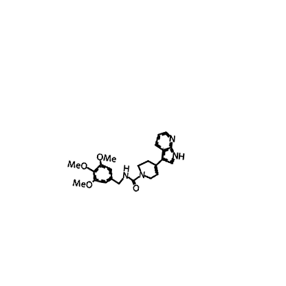 COc1cc(CNC(=O)N2CC=C(c3c[nH]c4ncccc34)CC2)cc(OC)c1OC